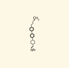 C=CCCCc1ccc(-c2ccc(C3CCC(C=CCCC)CC3)cc2)cc1